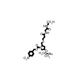 CC(C)(C)[Si](C)(C)OC1CC(CSCCC(=O)NCC(=O)NCC(=O)O)N(C(=O)OCc2ccc([N+](=O)[O-])cc2)C1